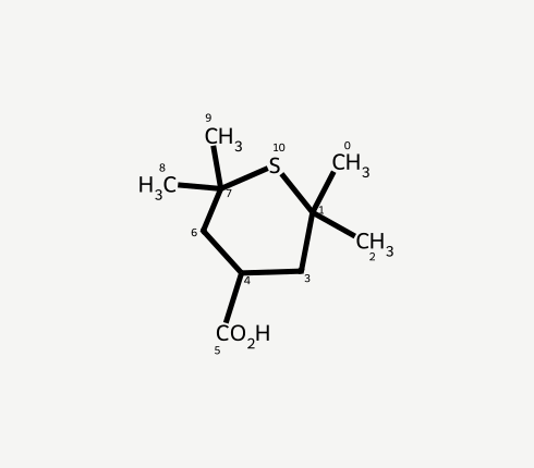 CC1(C)CC(C(=O)O)CC(C)(C)S1